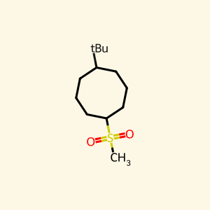 CC(C)(C)C1CCCC(S(C)(=O)=O)CCC1